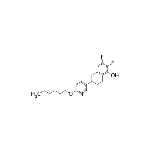 CCCCCCOc1ccc(C2CCc3c(cc(F)c(F)c3O)C2)cn1